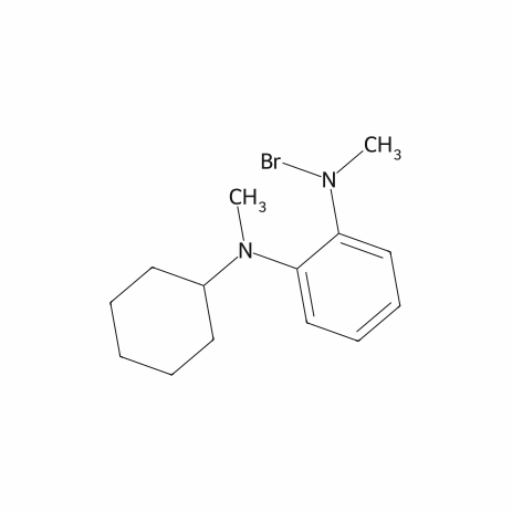 CN(Br)c1ccccc1N(C)C1CCCCC1